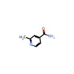 [CH2]c1cc(C(N)=O)ccn1